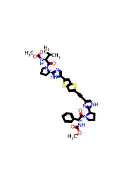 COC(=O)N[C@H](C(=O)N1CCC[C@H]1c1ncc(-c2cc3sc(C#Cc4c[nH]c(C5CCCN5C(=O)[C@H](NC(=O)OC)c5ccccc5)n4)cc3s2)[nH]1)C(C)C